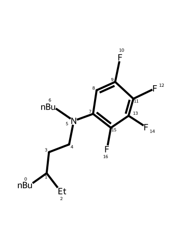 CCCCC(CC)CCN(CCCC)c1cc(F)c(F)c(F)c1F